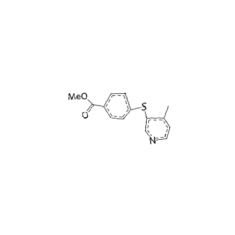 COC(=O)c1ccc(Sc2cnccc2C)cc1